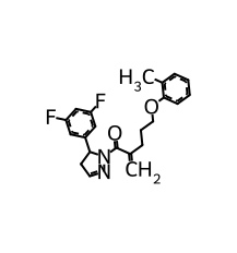 C=C(CCCOc1ccccc1C)C(=O)N1N=CCC1c1cc(F)cc(F)c1